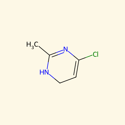 CC1=NC(Cl)=CCN1